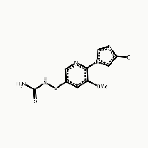 COc1cc(SNC(N)=O)cnc1-n1cnc(Cl)c1